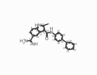 Cc1[nH]c2ccc(C(=N)N)cc2c1C(=O)Nc1ccc(-c2ccccc2)cc1